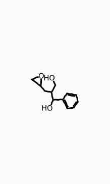 OCC(CC1CO1)C(O)c1ccccc1